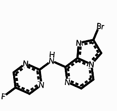 Fc1cnc(Nc2nccn3cc(Br)nc23)nc1